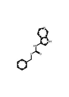 O=C(Nc1c[nH]c2cnccc12)OCc1ccccc1